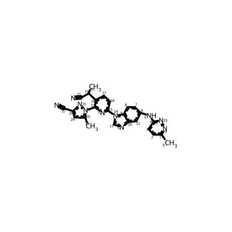 Cc1ccc(Nc2ccc3c(c2)ncn3-c2ccc(C(C)C#N)c(-n3nc(C#N)cc3C)n2)nn1